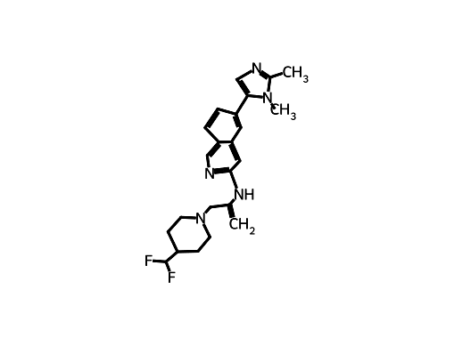 C=C(CN1CCC(C(F)F)CC1)Nc1cc2cc(-c3cnc(C)n3C)ccc2cn1